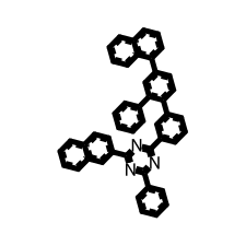 c1ccc(-c2nc(-c3cccc(-c4ccc(-c5cccc6ccccc56)cc4-c4ccccc4)c3)nc(-c3ccc4ccccc4c3)n2)cc1